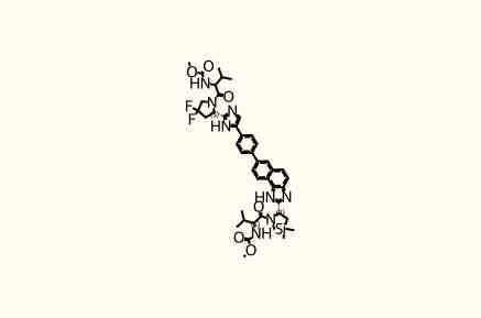 COC(=O)NC(C(=O)N1CC(F)(F)C[C@H]1c1ncc(-c2ccc(-c3ccc4c(ccc5nc([C@@H]6C[Si](C)(C)CN6C(=O)[C@@H](NC(=O)OC)C(C)C)[nH]c54)c3)cc2)[nH]1)C(C)C